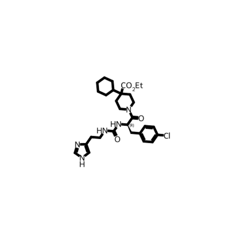 CCOC(=O)C1(C2CCCCC2)CCN(C(=O)[C@@H](Cc2ccc(Cl)cc2)NC(=O)NCCc2c[nH]cn2)CC1